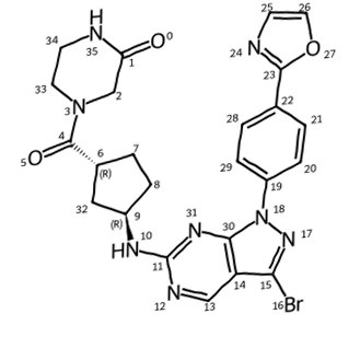 O=C1CN(C(=O)[C@@H]2CC[C@@H](Nc3ncc4c(Br)nn(-c5ccc(-c6ncco6)cc5)c4n3)C2)CCN1